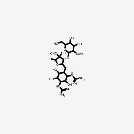 CNC1C(O[C@@H]2C(CC3C(O)C(O)C(NC(=N)N)C(O)C3NC(=N)N)OC(C)C2(O)C=O)OC(CO)C(O)C1O